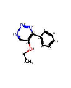 CCOc1cnnnc1-c1ccccc1